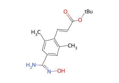 Cc1cc(/C(N)=N\O)cc(C)c1C=CC(=O)OC(C)(C)C